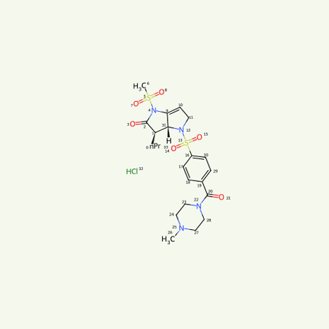 CCC[C@H]1C(=O)N(S(C)(=O)=O)C2=CCN(S(=O)(=O)c3ccc(C(=O)N4CCN(C)CC4)cc3)[C@@H]21.Cl